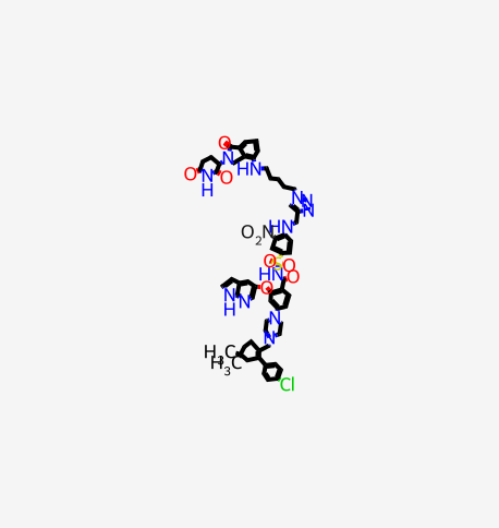 CC1(C)CCC(CN2CCN(c3ccc(C(=O)NS(=O)(=O)c4ccc(NCc5cn(CCCCCNc6cccc7c6CN(C6CCC(=O)NC6=O)C7=O)nn5)c([N+](=O)[O-])c4)c(Oc4cnc5[nH]ccc5c4)c3)CC2)=C(c2ccc(Cl)cc2)C1